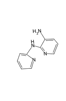 Nc1cccnc1Nc1ccccn1